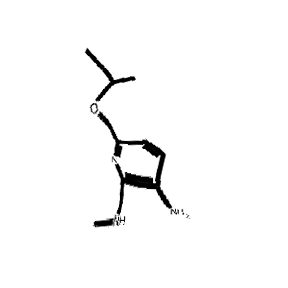 CNc1nc(OC(C)C)ccc1N